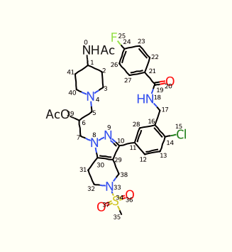 CC(=O)NC1CCN(CC(Cn2nc(-c3ccc(Cl)c(CNC(=O)c4ccc(F)cc4)c3)c3c2CCN(S(C)(=O)=O)C3)OC(C)=O)CC1